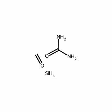 C=O.NC(N)=O.[SiH4]